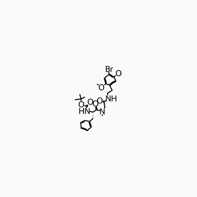 COc1cc(CCNC(=O)CN(C)C(=O)[C@H](Cc2ccccc2)NC(=O)OC(C)(C)C)c(OC)cc1Br